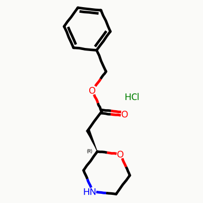 Cl.O=C(C[C@@H]1CNCCO1)OCc1ccccc1